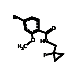 COc1cc(Br)ccc1C(=O)NCC1(F)CC1